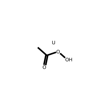 CC(=O)OO.[U]